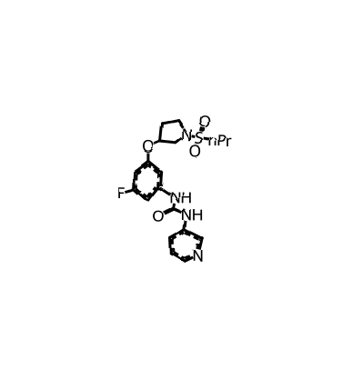 CCCS(=O)(=O)N1CCC(Oc2cc(F)cc(NC(=O)Nc3cccnc3)c2)C1